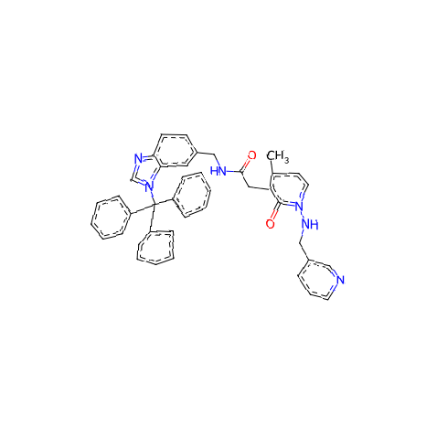 Cc1ccn(NCc2cccnc2)c(=O)c1CC(=O)NCc1ccc2ncn(C(c3ccccc3)(c3ccccc3)c3ccccc3)c2c1